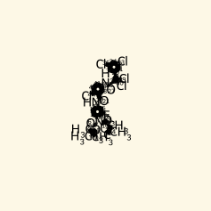 CC(C)(C)OC(=O)N(C(=O)OC(C)(C)C)c1ccc(NC(=O)c2cc(NC(=O)[C@@H]3[C@@H](c4cc(Cl)cc(Cl)c4)C3(Cl)Cl)ccc2Cl)cc1F